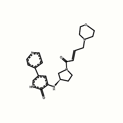 O=C(C=CCN1CCOCC1)N1CC[C@@H](Nc2cc(-c3ccncc3)c[nH]c2=O)C1